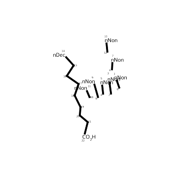 CCCCCCCCCC.CCCCCCCCCC.CCCCCCCCCC.CCCCCCCCCC.CCCCCCCCCC.CCCCCCCCCC.CCCCCCCCCC.CCCCCCCCCCCCCCCCCC(=O)O